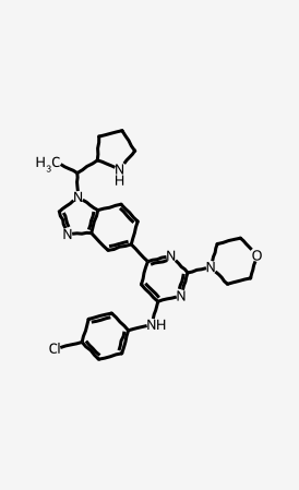 CC(C1CCCN1)n1cnc2cc(-c3cc(Nc4ccc(Cl)cc4)nc(N4CCOCC4)n3)ccc21